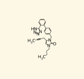 CC#CCc1cn(CCCC)c(=O)n1Cc1ccc(-c2ccccc2-c2nnn[nH]2)cc1